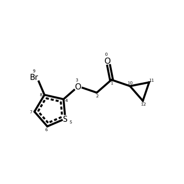 O=C(COc1sccc1Br)C1CC1